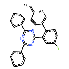 C=C/C=C\C(=C/C)c1ccc(F)cc1-c1nc(-c2ccccc2)nc(-c2ccccc2)n1